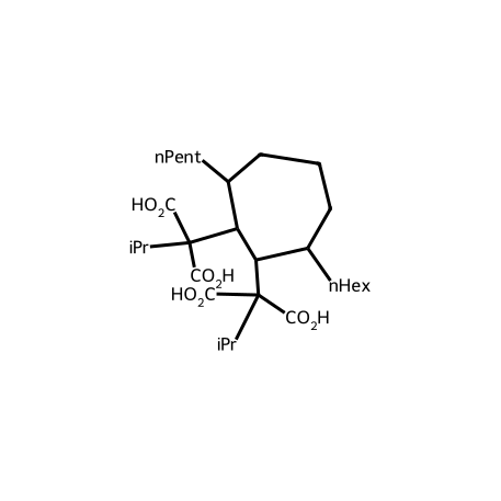 CCCCCCC1CCCC(CCCCC)C(C(C(=O)O)(C(=O)O)C(C)C)C1C(C(=O)O)(C(=O)O)C(C)C